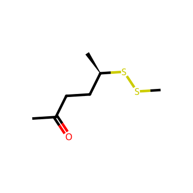 CSS[C@H](C)CCC(C)=O